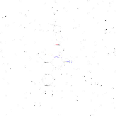 COc1cccc(-c2cc(=N)n(CC(=O)NC3CC(C)(C)C3)nc2C(C)C)c1